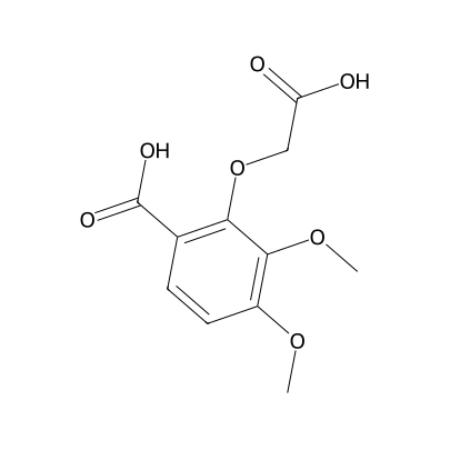 COc1ccc(C(=O)O)c(OCC(=O)O)c1OC